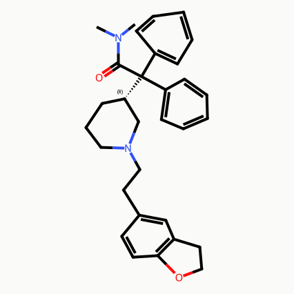 CN(C)C(=O)C(c1ccccc1)(c1ccccc1)[C@H]1CCCN(CCc2ccc3c(c2)CCO3)C1